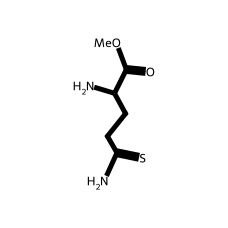 COC(=O)C(N)CCC(N)=S